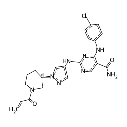 C=CC(=O)N1CCC[C@@H](n2cc(Nc3ncc(C(N)=O)c(Nc4ccc(Cl)cc4)n3)cn2)C1